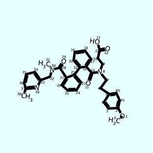 COc1ccc(CCN(CCC(=O)O)C(=O)c2ccccc2-c2ccccc2C(=O)N(C)Cc2cccc(C)n2)cc1